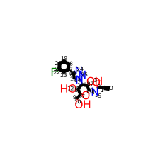 C#CC(=O)N(C)[C@@H]1OC(CO)[C@H](O)C(N2C[C@@H](c3cccc(F)c3)N=N2)C1O